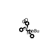 CCCCn1cc(CN(Cc2ccccc2)Cc2ccc3c(c2)OCO3)nc1-c1ccccc1